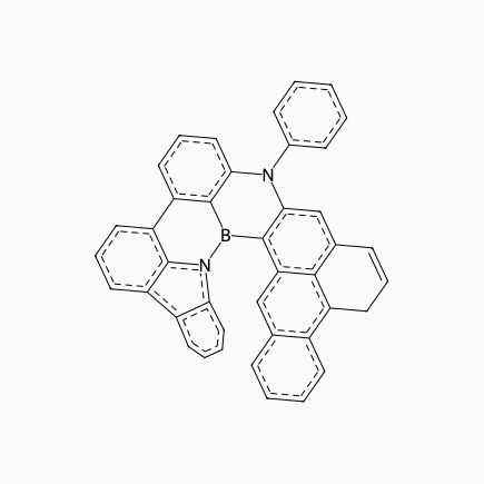 C1=Cc2cc3c(c4cc5ccccc5c(c24)C1)B1c2c(cccc2N3c2ccccc2)-c2cccc3c4ccccc4n1c23